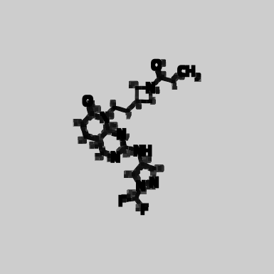 C=CC(=O)N1CC(CCn2c(=O)ccc3cnc(Nc4cnn(C(F)F)c4)nc32)C1